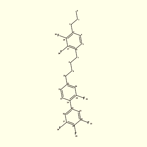 CCCc1ccc(CCCCc2ccc(-c3cc(F)c(F)c(F)c3)c(F)c2)c(F)c1F